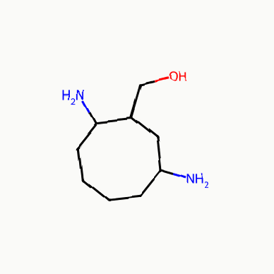 NC1CCCCC(N)C(CO)C1